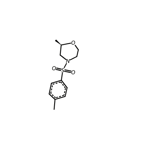 Cc1ccc(S(=O)(=O)N2CCO[C@H](C)C2)cc1